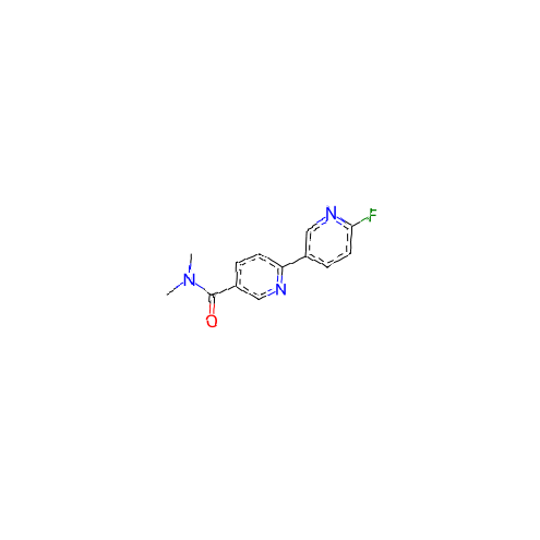 CN(C)C(=O)c1ccc(-c2ccc(F)nc2)nc1